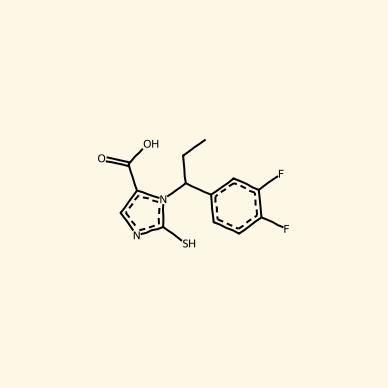 CCC(c1ccc(F)c(F)c1)n1c(C(=O)O)cnc1S